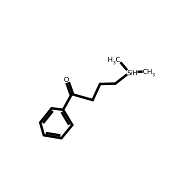 C[SiH](C)CCCC(=O)c1ccccc1